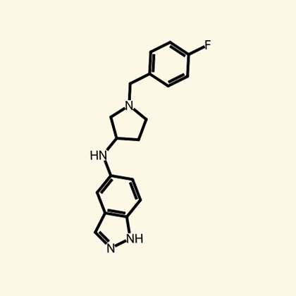 Fc1ccc(CN2CCC(Nc3ccc4[nH]ncc4c3)C2)cc1